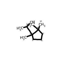 CC(C#N)C1(C)CCCC1(C)C